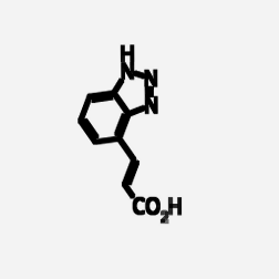 O=C(O)C=Cc1cccc2[nH]nnc12